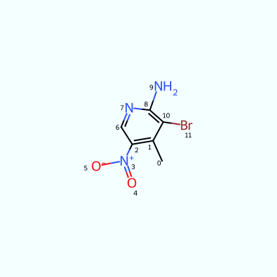 Cc1c([N+](=O)[O-])cnc(N)c1Br